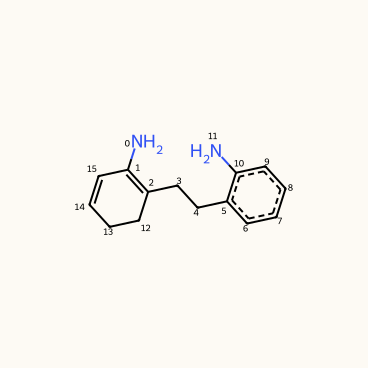 NC1=C(CCc2ccccc2N)CCC=C1